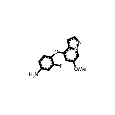 COc1cc(Oc2ccc(N)cc2F)c2ccnn2c1